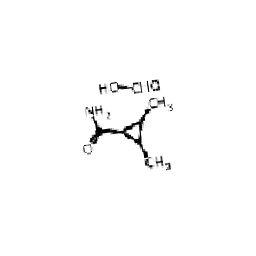 CC1C(C)C1C(N)=O.O=CO